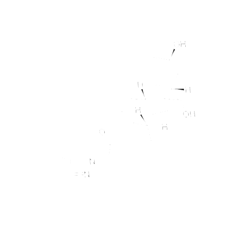 Cc1cnn(CC(=O)[C@H]2CC[C@H]3[C@@H]4CC[C@H]5C[C@H](O)CC[C@]5(CCO)[C@H]4CC[C@]23C)c1